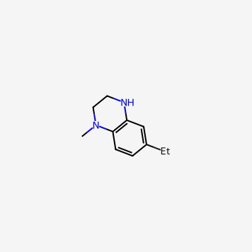 CCc1ccc2c(c1)NCCN2C